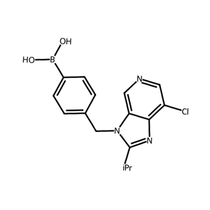 CC(C)c1nc2c(Cl)cncc2n1Cc1ccc(B(O)O)cc1